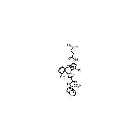 CCN(CC)CCC(=O)Nc1ccc(-n2nc(C(=O)NC3(C(=O)O)C4CC5CC(C4)CC3C5)cc2-c2c(OC)cccc2OC)c(C(C)C)c1